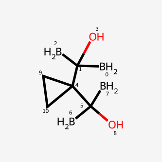 BC(B)(O)C1(C(B)(B)O)CC1